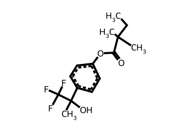 CCC(C)(C)C(=O)Oc1ccc(C(C)(O)C(F)(F)F)cc1